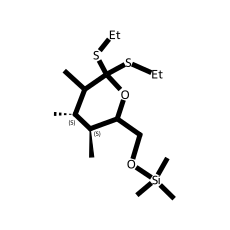 CCSC1(SCC)OC(CO[Si](C)(C)C)[C@@H](C)[C@H](C)C1C